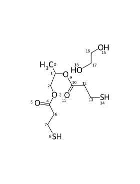 CC(COC(=O)CCS)OC(=O)CCS.OCCO